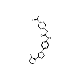 CC(=O)N1CCN(OC(=O)Nc2ccc(N3CCC(N4CCCC4C)C3)cc2)CC1